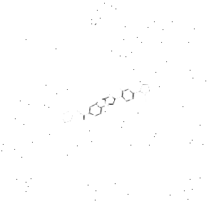 O=C(N[C@@H]1CCOC1)c1ccc2c(c1)sc1nc(-c3ccc(C4CCCN4)cc3F)cn12